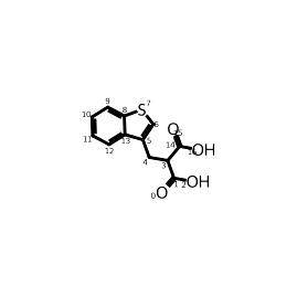 O=C(O)C(Cc1csc2ccccc12)C(=O)O